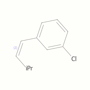 CC(C)/C=C\c1cccc(Cl)c1